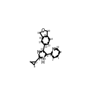 c1ccc(-c2[nH]c(C3CC3)nc2-c2ccc3c(c2)COC3)nc1